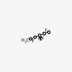 Cc1ccc(-c2ccc(-c3ccc(-c4ccc(-c5ccccc5F)cc4)c4nsnc34)cc2)c(F)c1